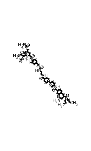 CCCN(CCC)C(=O)C1=Cc2ccc(C(=O)Nc3ccc(N4CCC(C(=O)NCCNC(=O)OCc5ccc(NC(=O)C(CCCNC(N)=O)NC(=O)C(NC=O)C(C)C)cc5)CC4)nc3)cc2N=C(N)C1